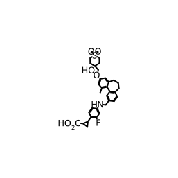 Cc1cc(OCC2(O)CCS(=O)(=O)CC2)cc2c1-c1cc(CNc3ccc(C4CC4C(=O)O)c(F)c3)ccc1CCC2